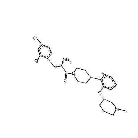 CN1CCC[C@H](Oc2cccnc2C2CCN(C(=O)[C@H](N)Cc3ccc(Cl)cc3Cl)CC2)C1